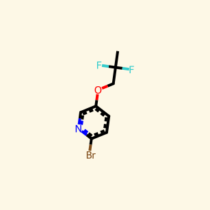 CC(F)(F)COc1ccc(Br)nc1